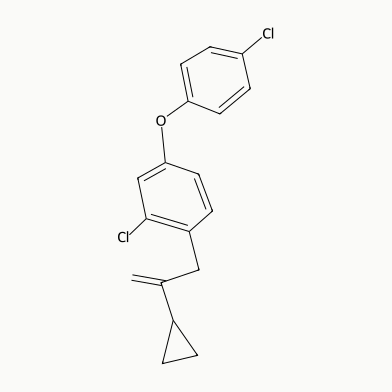 C=C(Cc1ccc(Oc2ccc(Cl)cc2)cc1Cl)C1CC1